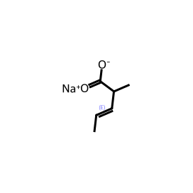 C/C=C/C(C)C(=O)[O-].[Na+]